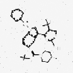 C[C@H]1CCN(C(=O)OC(C)(C)C)C[C@@H]1Nc1ncc(C(F)(F)F)c(-c2cn(S(=O)(=O)c3ccccc3)c3ccccc23)n1